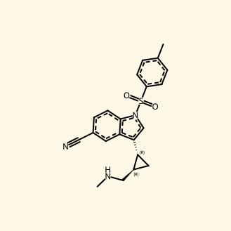 CNC[C@@H]1C[C@H]1c1cn(S(=O)(=O)c2ccc(C)cc2)c2ccc(C#N)cc12